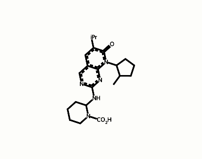 CC(C)c1cc2cnc(NC3CCCCN3C(=O)O)nc2n(C2CCCC2C)c1=O